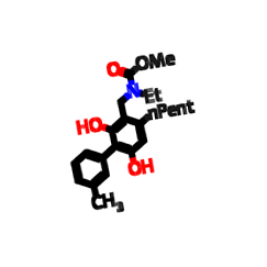 CCCCCc1cc(O)c(-c2cccc(C)c2)c(O)c1CN(CC)C(=O)OC